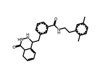 Cc1ccc(C)c(CCNC(=O)c2cccc(CC3NNC(=O)C4CC=CC=C34)c2)c1